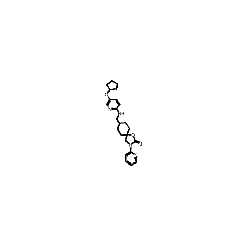 O=C1OC2(CCC(CNc3ccc(OC4CCCC4)cn3)CC2)CN1c1ccccn1